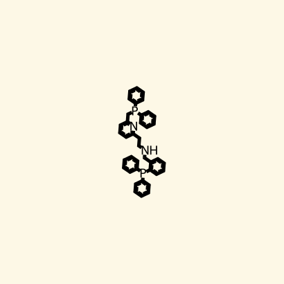 c1ccc(P(Cc2cccc(CCNCc3ccccc3P(c3ccccc3)c3ccccc3)n2)c2ccccc2)cc1